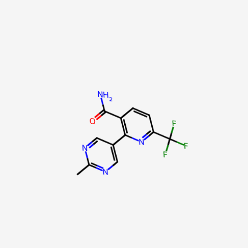 Cc1ncc(-c2nc(C(F)(F)F)ccc2C(N)=O)cn1